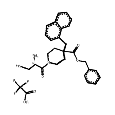 N[C@@H](CS)C(=O)N1CCC(Cc2cccc3ccccc23)(C(=O)OCc2ccccc2)CC1.O=C(O)C(F)(F)F